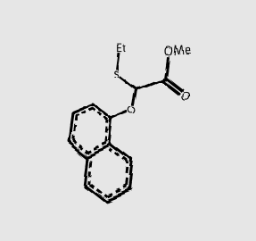 CCSC(Oc1cccc2ccccc12)C(=O)OC